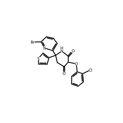 O=C1CC(c2ccsc2)(c2cccc(Br)n2)NC(=O)C1Oc1ccccc1Cl